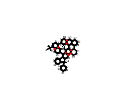 CC(C)(C)c1ccc(-c2ccccc2N(c2ccccc2-c2cccc3c2-c2ccccc2C3(C)c2ccccc2)c2ccccc2-c2cccc3cccc(C4CCCCC4)c23)cc1